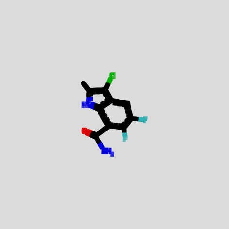 Cc1[nH]c2c(C(N)=O)c(F)c(F)cc2c1Cl